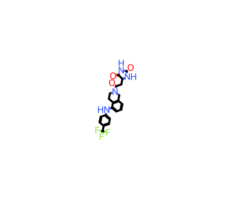 O=C1NC(=O)C(CC(=O)N2CCc3c(cccc3Nc3ccc(C(F)(F)F)cc3)C2)N1